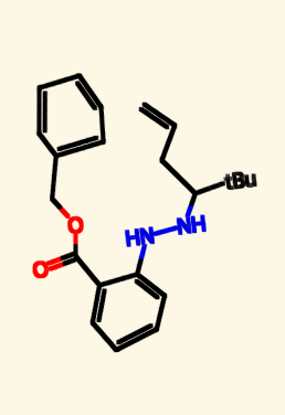 C=CCC(NNc1ccccc1C(=O)OCc1ccccc1)C(C)(C)C